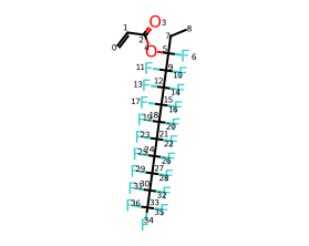 C=CC(=O)OC(F)(CC)C(F)(F)C(F)(F)C(F)(F)C(F)(F)C(F)(F)C(F)(F)C(F)(F)C(F)(F)C(F)(F)F